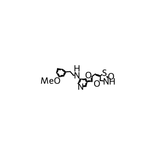 COc1cccc(CCNc2cncc3cc(C=C4SC(=O)NC4=O)oc23)c1